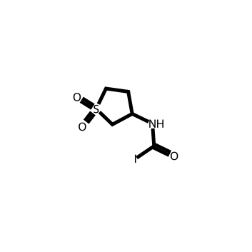 O=C(I)NC1CCS(=O)(=O)C1